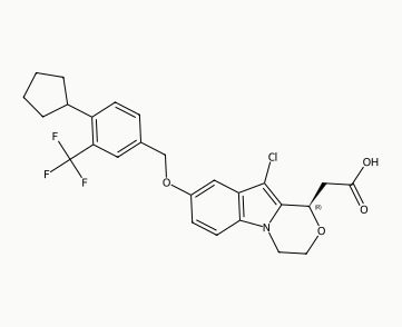 O=C(O)C[C@H]1OCCn2c1c(Cl)c1cc(OCc3ccc(C4CCCC4)c(C(F)(F)F)c3)ccc12